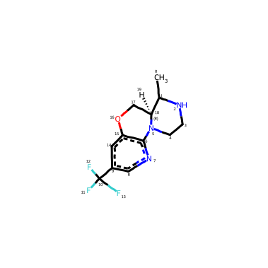 CC1NCCN2c3ncc(C(F)(F)F)cc3OC[C@@H]12